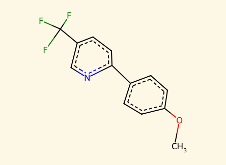 COc1ccc(-c2ccc(C(F)(F)F)cn2)cc1